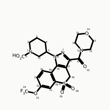 O=C(O)N1CCCC(n2nc(C(=O)N3CCOCC3)c3c2-c2ccc(OC(F)(F)F)cc2S(=O)(=O)C3)C1